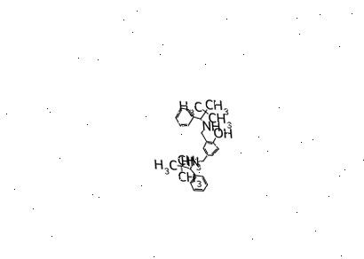 CC(C)(C)[C@H](NCc1cc(CN[C@@H](c2ccccc2)C(C)(C)C)ccc1O)c1ccccc1